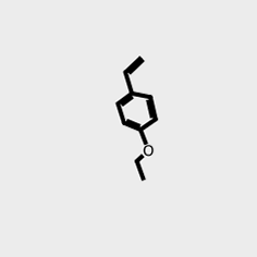 C=Cc1ccc(OCC)cc1